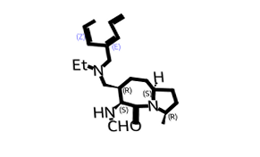 C=C/C=C(\C=C/C)CN(CC)C[C@H]1CC[C@H]2CC[C@@H](C)N2C(=C)[C@H]1NC=O